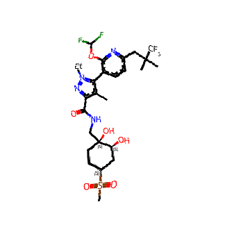 CCn1nc(C(=O)NC[C@@]2(O)CC[C@H](S(C)(=O)=O)C[C@@H]2O)c(C)c1-c1ccc(CC(C)(C)C(F)(F)F)nc1OC(F)F